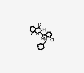 Cc1cccc2c(=O)[nH]c(-c3nn(Cc4ccccc4)c4c(Cl)cccc34)nc12